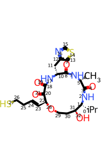 CC(C)[C@H]1NC(=O)[C@@H](C)NC(=O)[C@@H](Cc2cscn2)NC(=O)C(=O)[C@H](C=CCCS)OCC[C@@H]1O